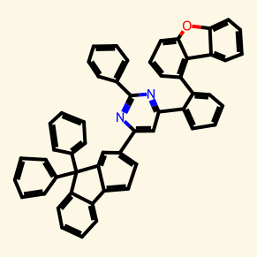 c1ccc(-c2nc(-c3ccc4c(c3)C(c3ccccc3)(c3ccccc3)c3ccccc3-4)cc(-c3ccccc3-c3cccc4oc5ccccc5c34)n2)cc1